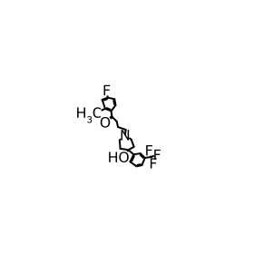 Cc1cc(F)ccc1C(=O)CCCN1CCC(O)(c2cccc(C(F)(F)F)c2)CC1